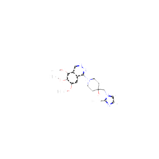 COc1cc2c(N3CCC(O)(Cn4ccnc4C)CC3)nncc2c(OC)c1OC